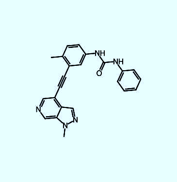 Cc1ccc(NC(=O)Nc2ccccc2)cc1C#Cc1cncc2c1cnn2C